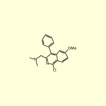 COc1ccc2c(Cl)nc(CN(C)C)c(-c3ccccc3)c2c1